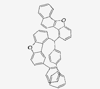 c1ccc(-c2ccc(C(c3cccc4oc5ccc(-c6ccccc6)cc5c34)c3cccc4oc5c6ccccc6ccc5c34)cc2)cc1